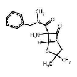 CN(Cc1ccccc1)C(=O)C1(N)C(=O)N2CC(C)(C)S[C@@H]21